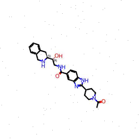 CC(=O)N1CCC(c2nc3cc(C(=O)NC[C@@H](O)[C@@H]4Cc5ccccc5CN4)ccc3[nH]2)CC1